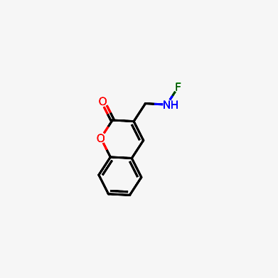 O=c1oc2ccccc2cc1CNF